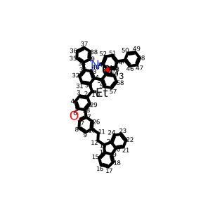 CCC(c1ccc2oc3ccc(CCC4c5ccccc5-c5ccccc54)cc3c2c1)c1ccc2c3ccccc3n(-c3ccc(-c4ccccc4)cc3)c2c1-c1ccccc1C